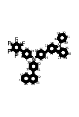 Fc1c(F)c(F)c(-c2ccc(N(c3ccc(-c4ccc5c(c4)c4ccccc4n5-c4ccccc4)cc3)c3ccc(-c4cccc5ccccc45)cc3)cc2)c(F)c1F